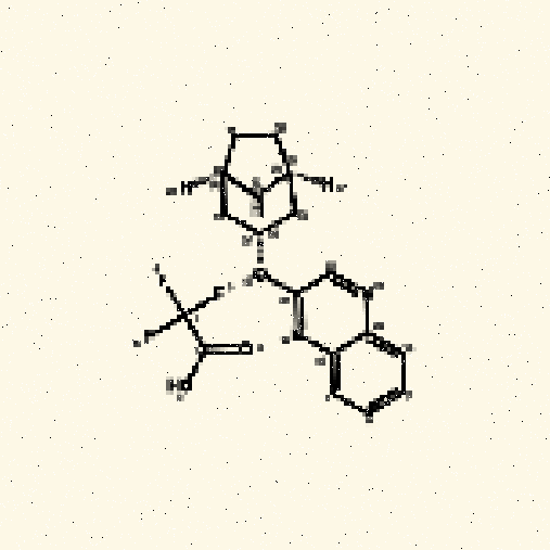 O=C(O)C(F)(F)F.c1ccc2nc(O[C@@H]3C[C@H]4CC[C@@H](C3)N4)cnc2c1